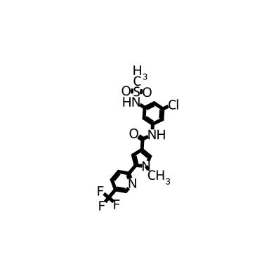 Cn1cc(C(=O)Nc2cc(Cl)cc(NS(C)(=O)=O)c2)cc1-c1ccc(C(F)(F)F)cn1